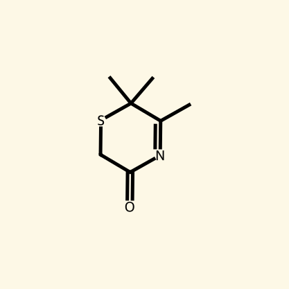 CC1=NC(=O)CSC1(C)C